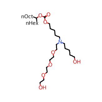 CCCCCCCCC(CCCCCC)OC(=O)OCCCCCN(CCCCCO)CCOCCOCCOCCO